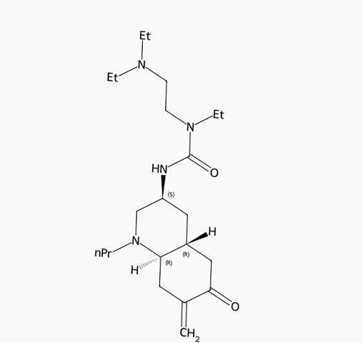 C=C1C[C@@H]2[C@@H](CC1=O)C[C@H](NC(=O)N(CC)CCN(CC)CC)CN2CCC